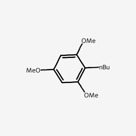 [CH2]CCCc1c(OC)cc(OC)cc1OC